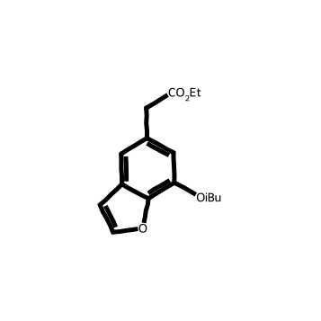 CCOC(=O)Cc1cc(OCC(C)C)c2occc2c1